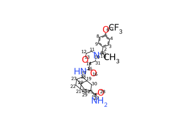 C[C@H](c1ccc(OC(F)(F)F)cc1)N1CCOC(C(=O)NC2C3CC4CC2CC(C(N)=O)(C4)C3)C1